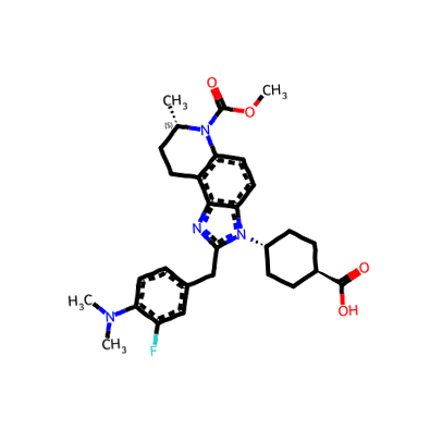 COC(=O)N1c2ccc3c(nc(Cc4ccc(N(C)C)c(F)c4)n3[C@H]3CC[C@H](C(=O)O)CC3)c2CC[C@@H]1C